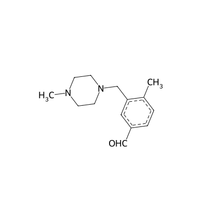 Cc1ccc(C=O)cc1CN1CCN(C)CC1